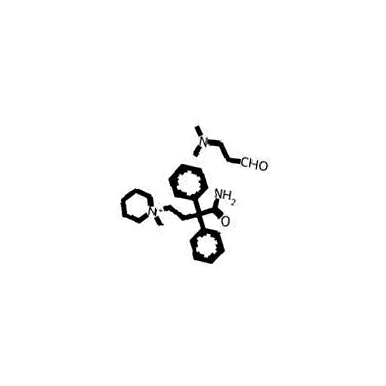 CN(C)CCC=O.C[N+]1(CCC(C(N)=O)(c2ccccc2)c2ccccc2)CCCCC1